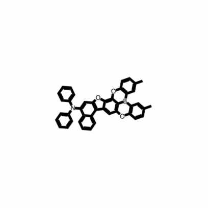 Cc1ccc2c(c1)B1c3cc(C)ccc3Oc3c1c(cc1c3oc3cc(N(c4ccccc4)c4ccccc4)c4ccccc4c31)O2